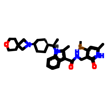 CSc1cc(C)[nH]c(=O)c1CNC(=O)c1c(C)n([C@H](C)[C@H]2CC[C@H](N3CC4(CCOCC4)C3)CC2)c2ccccc12